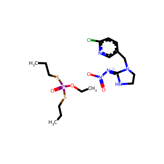 CCCSP(=O)(OCC)SCCC.O=[N+]([O-])/N=C1\NCCN1Cc1ccc(Cl)nc1